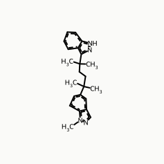 Cn1ncc2cc(C(C)(C)CCC(C)(C)c3n[nH]c4ccccc34)ccc21